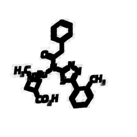 CCCCN(C(=O)Cc1ccccc1)c1nnc(-c2ccccc2C)s1.CN1CC(C(=O)O)C1